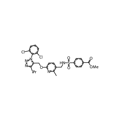 COC(=O)c1ccc(S(=O)(=O)NCc2ccc(OCc3c(C(C)C)nnn3-c3c(Cl)cccc3Cl)nc2C)cc1